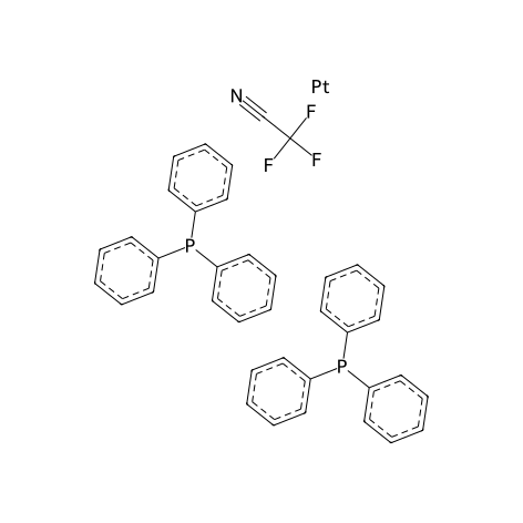 N#CC(F)(F)F.[Pt].c1ccc(P(c2ccccc2)c2ccccc2)cc1.c1ccc(P(c2ccccc2)c2ccccc2)cc1